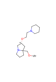 CC(C)OCC12CCCN1C[C@H](OCCN1CCCCC1)C2